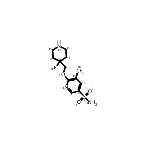 NS(=O)(=O)c1cnc(OCC2(F)CCNCC2)c(C(F)(F)F)c1